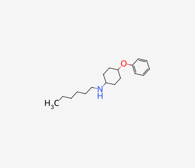 CCCCCCNC1CCC(Oc2ccccc2)CC1